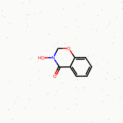 O=C1c2ccccc2OCN1O